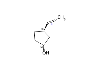 C/C=C/[C@@H]1CC[C@H](O)C1